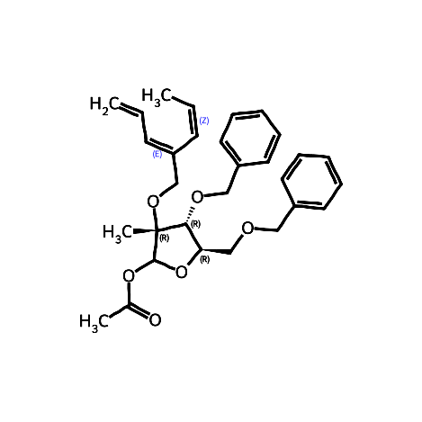 C=C/C=C(\C=C/C)CO[C@@]1(C)C(OC(C)=O)O[C@H](COCc2ccccc2)[C@H]1OCc1ccccc1